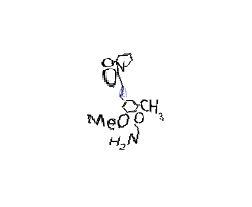 COc1cc(/C=C/C(=O)N2CCC=CC2=O)cc(C)c1OCCN